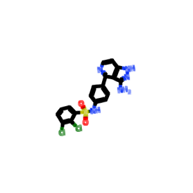 Nc1n[nH]c2ccnc(-c3ccc(NS(=O)(=O)c4cccc(Cl)c4Cl)cc3)c12